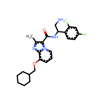 Cc1nc2c(OCC3CCCCC3)cccn2c1C(=O)NC(CN)c1ccc(F)cc1F